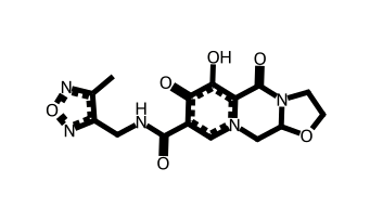 Cc1nonc1CNC(=O)c1cn2c(c(O)c1=O)C(=O)N1CCOC1C2